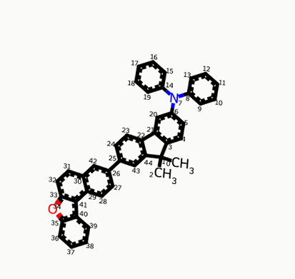 CC1(C)c2ccc(N(c3ccccc3)c3ccccc3)cc2-c2ccc(-c3ccc4c(ccc5oc6ccccc6c54)c3)cc21